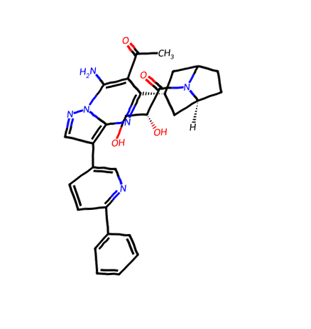 CC(=O)c1c([C@@H]2CC3CC[C@@H](C2)N3C(=O)[C@H](O)CO)nc2c(-c3ccc(-c4ccccc4)nc3)cnn2c1N